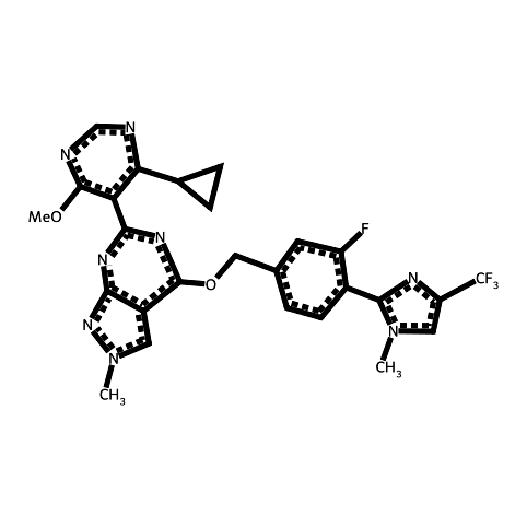 COc1ncnc(C2CC2)c1-c1nc(OCc2ccc(-c3nc(C(F)(F)F)cn3C)c(F)c2)c2cn(C)nc2n1